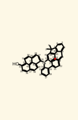 CC1(C)c2cccc3ccc4cc(N(c5ccccc5-c5ccccc5)c5ccc6ccc7c(O)ccc8ccc5c6c87)cc1c4c23